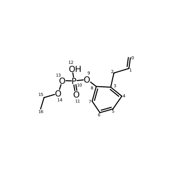 C=CCc1ccccc1OP(=O)(O)OOCC